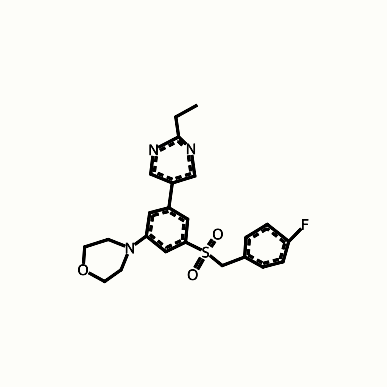 CCc1ncc(-c2cc(N3CCOCC3)cc(S(=O)(=O)Cc3ccc(F)cc3)c2)cn1